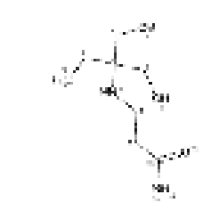 CCC(CO)(CO)NCCC(N)=O